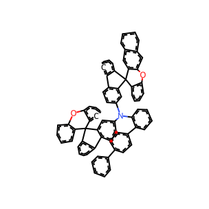 c1ccc(-c2ccc(-c3ccccc3N(c3ccc4c(c3)C3(c5ccccc5Oc5ccccc53)c3ccccc3-4)c3ccc4c(c3)C3(c5ccccc5Oc5cc6ccccc6cc53)c3ccccc3-4)cc2)cc1